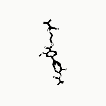 C=C(C)C(=O)OCCOC(=O)c1ccc(-c2ccc(OC(=O)C(=C)C)c(F)c2)cc1OC